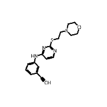 C#Cc1cccc(Nc2ccnc(SCCN3CCOCC3)n2)c1